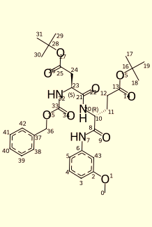 COc1cccc(NC(=O)[C@@H](CCC(=O)OC(C)(C)C)NC(=O)[C@H](CC(=O)OC(C)(C)C)NC(=O)OCc2ccccc2)c1